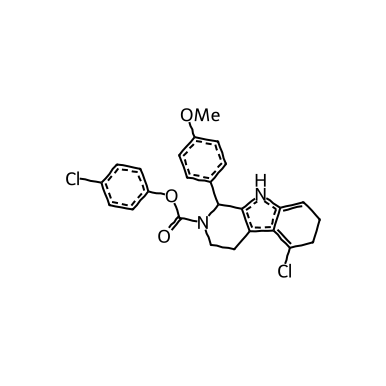 COc1ccc(C2c3[nH]c4c(c3CCN2C(=O)Oc2ccc(Cl)cc2)=C(Cl)CCC=4)cc1